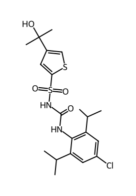 CC(C)c1cc(Cl)cc(C(C)C)c1NC(=O)NS(=O)(=O)c1cc(C(C)(C)O)cs1